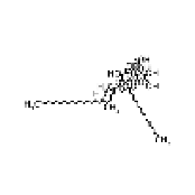 CCCCCCCCCCCCCCCCCC[C@H](C)/C=C(C)/C=C(\C)C(=O)OC1C(O)C(CO)OC(OC2OC(CO)C(O)C(O)C2OSOOO)C1OC(=O)CCCCCCCCCCCCCCC